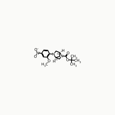 COc1cc([N+](=O)[O-])ccc1N1C[C@@H]2C[C@H]1CN2C(=O)OC(C)(C)C